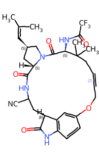 CC(C)=C[C@@H]1C[C@H]2C(=O)NC(C#N)C[C@H]3C(=O)Nc4ccc(cc43)OC/C=C\CC(C)(C)[C@H](NC(=O)C(F)(F)F)C(=O)N2C1